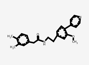 COc1cc(CCNC(=O)Cc2ccc(C)c(C)c2)ccc1-c1ccncc1